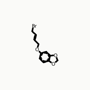 BrC/C=C/COc1ccc2c(c1)OCO2